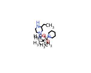 CCC1CNCCN1.CO[Si](OC)(N1CCCCC1)C(C)(C)C